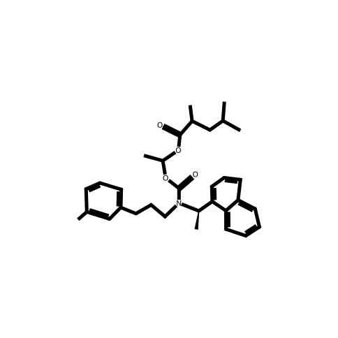 Cc1cccc(CCCN(C(=O)OC(C)OC(=O)C(C)CC(C)C)[C@H](C)c2cccc3ccccc23)c1